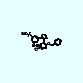 CCOC(=O)c1cc(NC(C)=O)cc(C2=C(c3cc(Cl)cnc3OCc3ccccc3)CCC2)c1